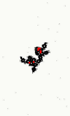 C=CC1=CCC(OC2=CCC(C3(C4CC(C)=CCC4C)C4=C(C=CC(N(C5=CC6C7=C(CCC(N8c9cc(C)c(-c%10ccc(F)cc%10)cc9C9=C(C=CC(OC%10CC=C(C=C)CC%10)C9)C9C=CC=CC9C9C=CC8CC9c8cc(C)ccc8C)=C7)OC6CC5)C5=CC(C)=C(c6ccc(F)cc6)CC5C)C4)c4ccccc43)C=C2)C=C1